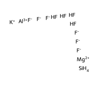 F.F.F.F.[Al+3].[F-].[F-].[F-].[F-].[F-].[F-].[K+].[Mg+2].[SiH4]